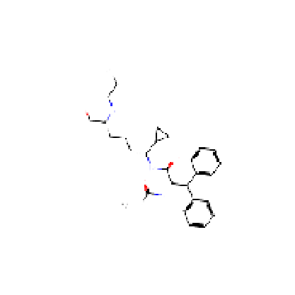 COC(=O)N[C@H](C(=O)N[C@H](CCC[C@@H](CO)NCCC(C)C)C1CC1)C(c1ccccc1)c1ccccc1